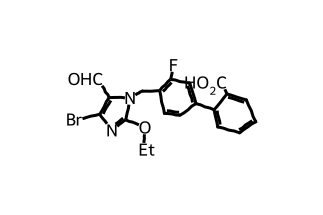 CCOc1nc(Br)c(C=O)n1Cc1ccc(-c2ccccc2C(=O)O)cc1F